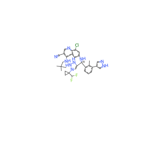 Cc1c(-c2cn[nH]c2)cccc1[C@H](Nc1cc(Cl)c2ncc(C#N)c(NCC(C)(C)C)c2c1)C1=CN(C2(C(F)F)CC2)NN1